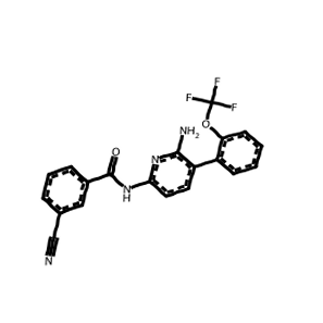 N#Cc1cccc(C(=O)Nc2ccc(-c3ccccc3OC(F)(F)F)c(N)n2)c1